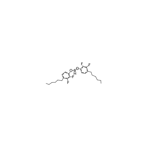 CCCCCCc1ccc(OBOc2ccc(CCCCCC)c(F)c2F)c(F)c1F